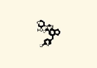 O=c1c2cc(Cc3ccc(Cl)nc3)c3c(c2ncn1C1CCOCC1O)CCC3